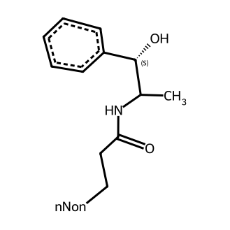 CCCCCCCCCCCC(=O)NC(C)[C@@H](O)c1ccccc1